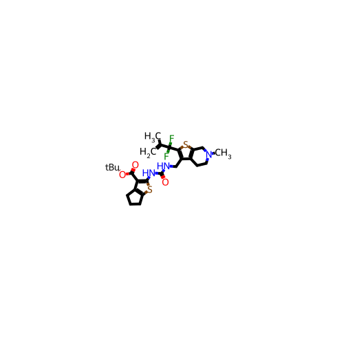 C=C(C)C(F)(F)c1sc2c(c1CNC(=O)Nc1sc3c(c1C(=O)OC(C)(C)C)CCC3)CCN(C)C2